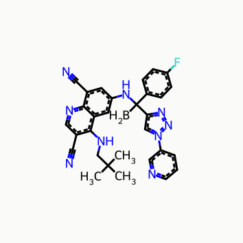 BC(Nc1cc(C#N)c2ncc(C#N)c(NCC(C)(C)C)c2c1)(c1ccc(F)cc1)c1cn(-c2cccnc2)nn1